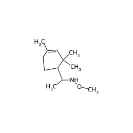 CONC(C)C1CCC(C)=CC1(C)C